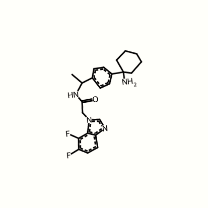 CC(NC(=O)Cn1cnc2ccc(F)c(F)c21)c1ccc(C2(N)CCCCC2)cc1